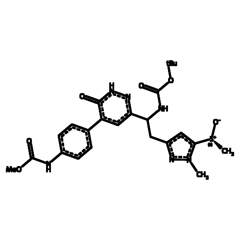 COC(=O)Nc1ccc(-c2cc(C(Cc3cc([S@+](C)[O-])n(C)n3)NC(=O)OC(C)(C)C)n[nH]c2=O)cc1